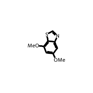 COc1cc(OC)c2scnc2c1